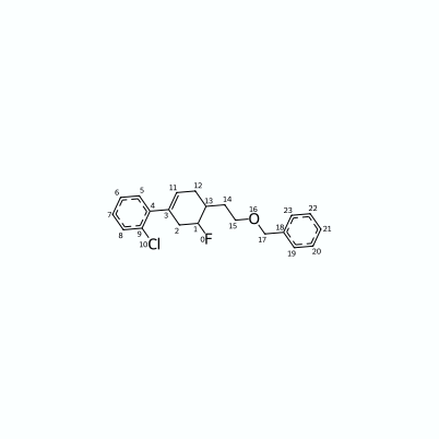 FC1CC(c2ccccc2Cl)=CCC1CCOCc1ccccc1